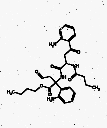 CCCCOC(=O)C(CC=O)(NC(=O)C(CC(=O)c1ccccc1N)NC(=O)CCC)c1ccccc1N